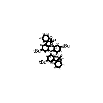 CC(C)(C)C1C=C2C3C(C1)B1C4CC(C(C)(C)C)CC5=C4N(C4CC(C(C)(C)C)CC(C14)N3C(C)(C)C21CCCCC1)C(C)(C)C51CCCCC1